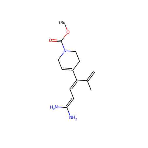 C=C(C)/C(=C\C=C(N)N)C1=CCN(C(=O)OC(C)(C)C)CC1